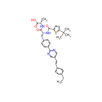 CCc1ccc(/C=C/c2cnc(-c3ccc(C[C@H](NC(=O)c4ccc(C(C)(C)C)s4)C(=O)N[C@H](C)C(=O)O)cc3)nc2)cc1